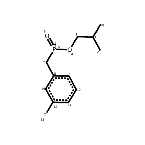 CC(C)CO[PH](=O)Cc1cccc(F)c1